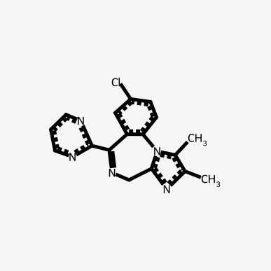 Cc1nc2n(c1C)-c1ccc(Cl)cc1C(c1ncccn1)=NC2